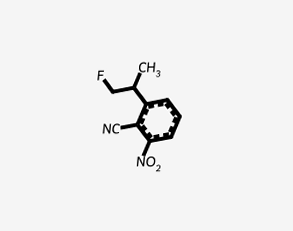 C[C](CF)c1cccc([N+](=O)[O-])c1C#N